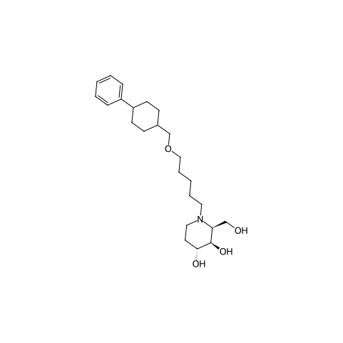 OC[C@H]1[C@@H](O)[C@H](O)CCN1CCCCCOCC1CCC(c2ccccc2)CC1